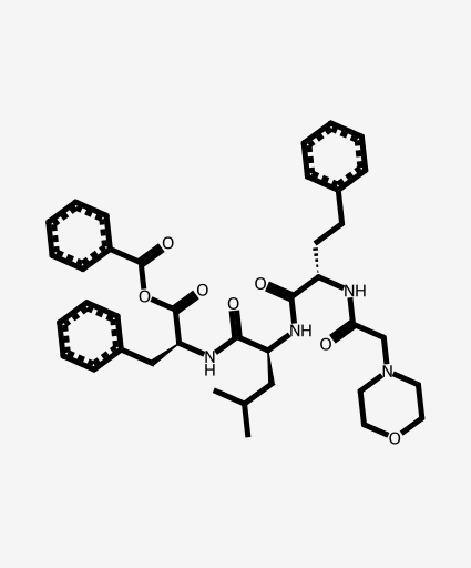 CC(C)C[C@H](NC(=O)[C@H](CCc1ccccc1)NC(=O)CN1CCOCC1)C(=O)N[C@@H](Cc1ccccc1)C(=O)OC(=O)c1ccccc1